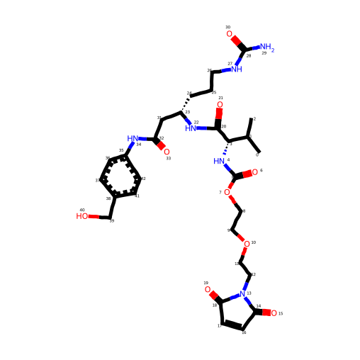 CC(C)[C@H](NC(=O)OCCOCCN1C(=O)C=CC1=O)C(=O)N[C@@H](CCCNC(N)=O)CC(=O)Nc1ccc(CO)cc1